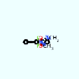 CN1C(=O)N(c2c(F)cc(C#Cc3ccccc3)cc2F)C(=O)C[C@]12CCCc1c2cnn1C